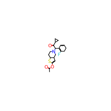 CC(=O)OC1=CC2CN(C(C(=O)C3CC3)C3=C(F)CCC=C3)CCC2S1